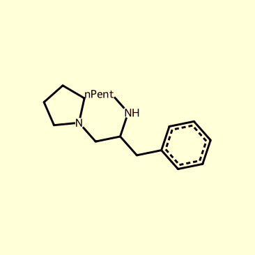 CCCCCNC(Cc1ccccc1)CN1CCCC1